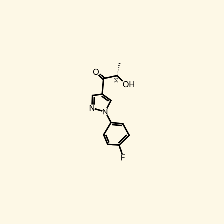 C[C@H](O)C(=O)c1cnn(-c2ccc(F)cc2)c1